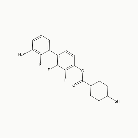 O=C(Oc1ccc(-c2cccc(P)c2F)c(F)c1F)C1CCC(S)CC1